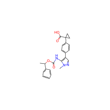 CC(OC(=O)Nc1c(-c2ccc(C3(C(=O)O)CC3)cc2)cnn1C)c1ccccc1